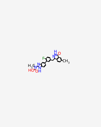 Cc1ccc2c(Cc3ccc(F)c(-c4ccc5[nH]c(N(C)C(=O)O)nc5c4)c3)n[nH]c(=O)c2c1